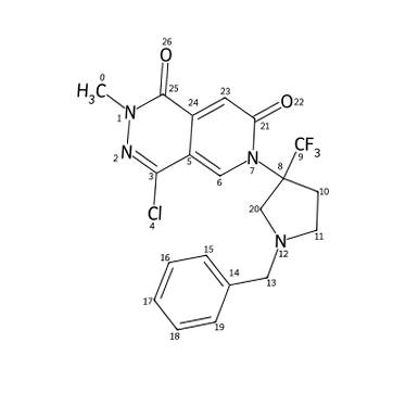 Cn1nc(Cl)c2cn(C3(C(F)(F)F)CCN(Cc4ccccc4)C3)c(=O)cc2c1=O